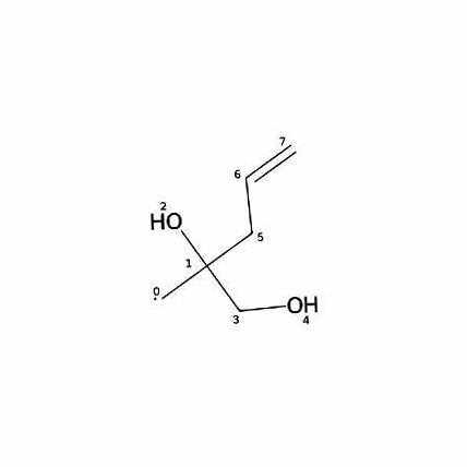 [CH2]C(O)(CO)CC=C